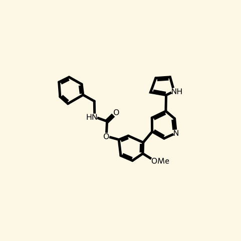 COc1ccc(OC(=O)NCc2ccccc2)cc1-c1cncc(-c2ccc[nH]2)c1